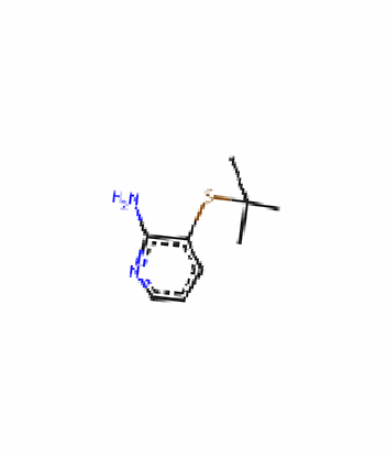 CC(C)(C)Sc1cccnc1N